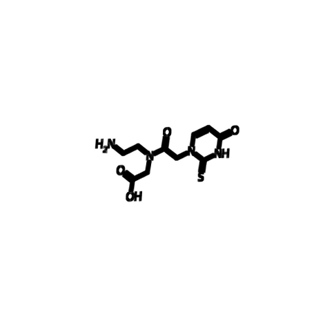 NCCN(CC(=O)O)C(=O)Cn1ccc(=O)[nH]c1=S